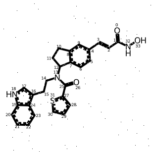 O=C(C=Cc1ccc2c(c1)CCC2N(CCc1c[nH]c2ccccc12)C(=O)c1cccs1)NO